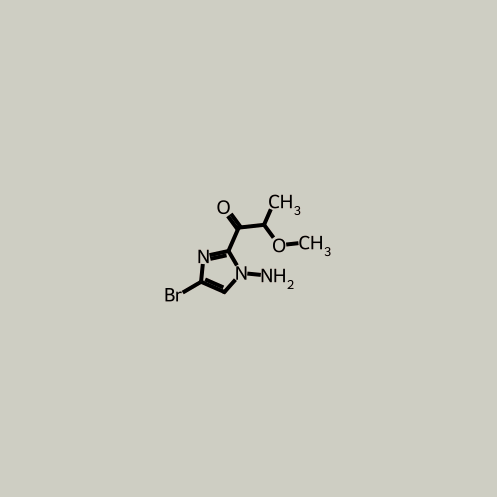 COC(C)C(=O)c1nc(Br)cn1N